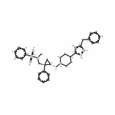 CN(C[C@@]1(c2ccccc2)C[C@@H]1CN1CCC(c2nc(Cc3ccccc3)no2)CC1)S(=O)(=O)c1ccccc1